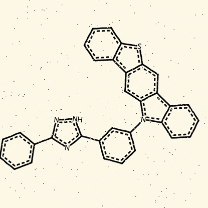 c1ccc(-c2n[nH]c(-c3cccc(-n4c5ccccc5c5cc6sc7ccccc7c6cc54)c3)n2)cc1